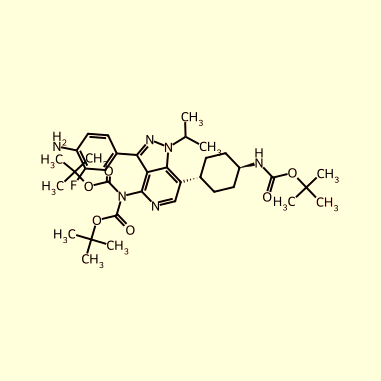 CC(C)n1nc(-c2ccc(N)c(F)c2)c2c(N(C(=O)OC(C)(C)C)C(=O)OC(C)(C)C)ncc([C@H]3CC[C@H](NC(=O)OC(C)(C)C)CC3)c21